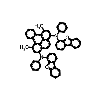 Cc1cc(N(c2ccccc2)c2cccc3c2oc2ccccc23)c2ccc3c(N(c4ccccc4)c4cccc5c4oc4ccccc45)cc(C)c4c5ccccc5c1c2c34